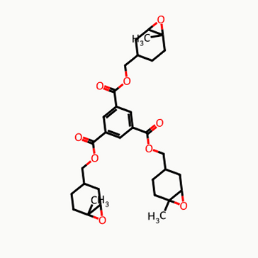 CC12CCC(COC(=O)c3cc(C(=O)OCC4CCC5(C)OC5C4)cc(C(=O)OCC4CCC5(C)OC5C4)c3)CC1O2